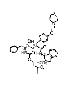 COC(C)CCOC(=O)N[C@@H](Cc1ccccc1)[C@@H](O)C[C@@H](Cc1ccc(OCCN2CCOCC2)cc1)C(=O)N[C@H]1c2ccccc2C[C@H]1O